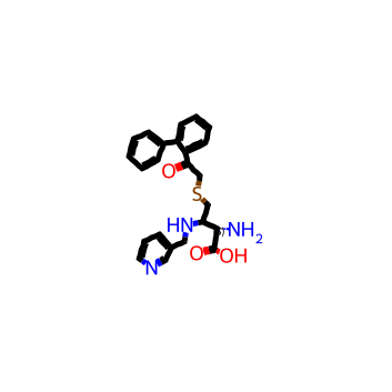 N[C@H](C(=O)O)C(CSCC(=O)c1ccccc1-c1ccccc1)NCc1cccnc1